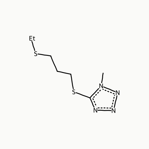 CCSCCCSc1nnnn1C